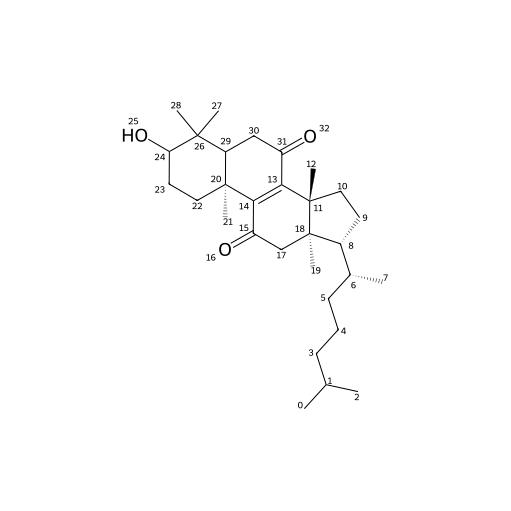 CC(C)CCC[C@@H](C)[C@H]1CC[C@@]2(C)C3=C(C(=O)C[C@]12C)[C@@]1(C)CCC(O)C(C)(C)C1CC3=O